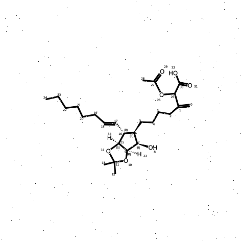 C=C(CCCC[C@H]1[C@@H](O)[C@H]2OC(C)(C)O[C@H]2[C@@H]1C=CCCCCCC)C(OC(C)=O)C(=O)O